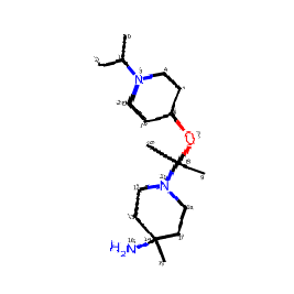 CC(C)N1CCC(OC(C)(C)N2CCC(C)(N)CC2)CC1